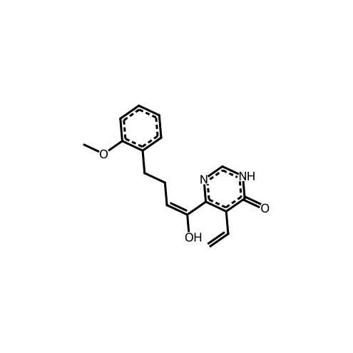 C=Cc1c(/C(O)=C\CCc2ccccc2OC)nc[nH]c1=O